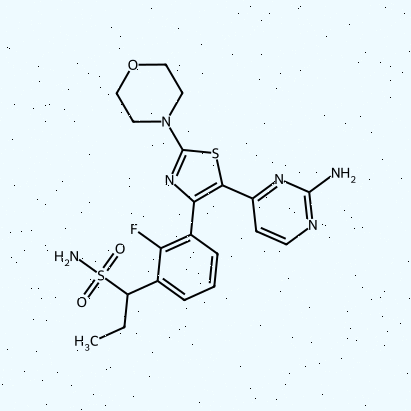 CCC(c1cccc(-c2nc(N3CCOCC3)sc2-c2ccnc(N)n2)c1F)S(N)(=O)=O